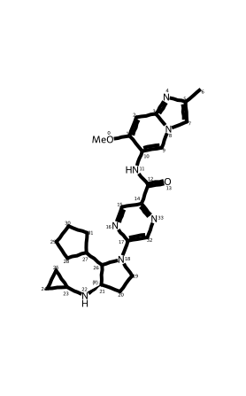 COc1cc2nc(C)cn2cc1NC(=O)c1cnc(N2CC[C@@H](NC3CC3)C2C2CCCC2)cn1